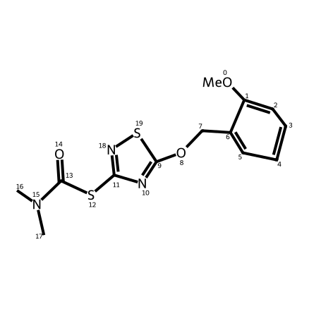 COc1ccccc1COc1nc(SC(=O)N(C)C)ns1